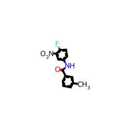 Cc1cccc(C(=O)Nc2ccc(F)c([N+](=O)[O-])c2)c1